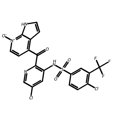 O=C(c1ncc(Cl)cc1NS(=O)(=O)c1ccc(Cl)c(C(F)(F)F)c1)c1cc[n+]([O-])c2[nH]ccc12